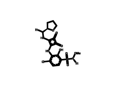 CCC(Nc1c(Nc2c(Cl)ccc(S(=O)(=O)N(CC)OC)c2O)c(=O)c1=O)[C@H]1CCCO1